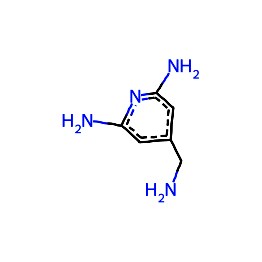 NCc1cc(N)nc(N)c1